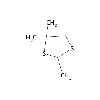 C[C]1SCC(C)(C)S1